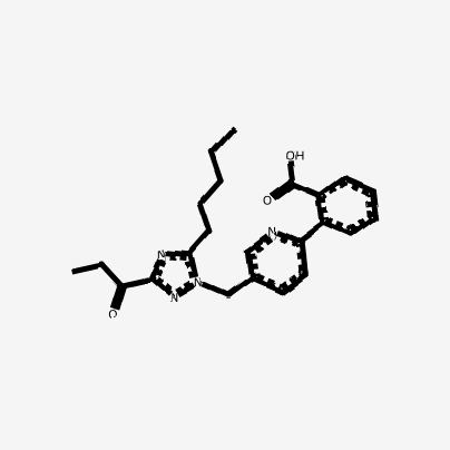 CCCCCc1nc(C(=O)CC)nn1Cc1ccc(-c2ccccc2C(=O)O)nc1